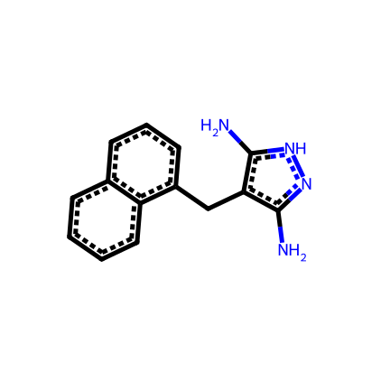 Nc1n[nH]c(N)c1Cc1cccc2ccccc12